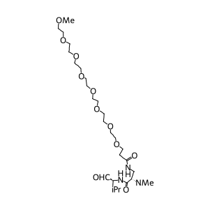 CN[C@@H](CNC(=O)CCOCCOCCOCCOCCOCCOCCOCCOC)C(=O)N[C@H](C=O)C(C)C